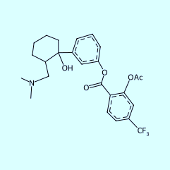 CC(=O)Oc1cc(C(F)(F)F)ccc1C(=O)Oc1cccc(C2(O)CCCCC2CN(C)C)c1